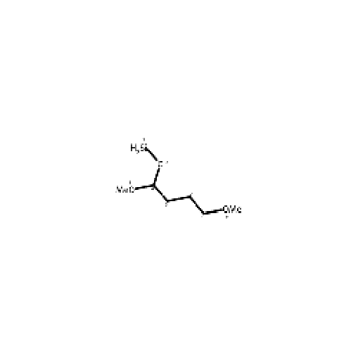 COCCCC(OC)O[SiH3]